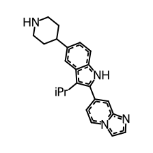 CC(C)c1c(-c2ccn3ccnc3c2)[nH]c2ccc(C3CCNCC3)cc12